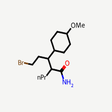 CCCC(C(N)=O)C(CCBr)C1CCC(OC)CC1